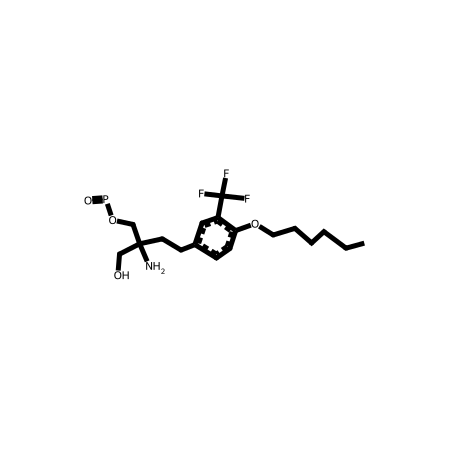 CCCCCCOc1ccc(CCC(N)(CO)COP=O)cc1C(F)(F)F